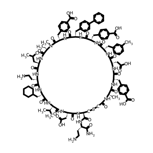 Cc1cccc(C[C@@H]2NC(=O)[C@H](CC(=O)O)NC(=O)[C@H](Cc3ccc(C(=O)O)cc3)NC(=O)[C@H](C)NC(=O)CSC[C@@H](C(=O)N[C@@H](CCN)C(N)=O)NC(=O)[C@H](CC(=O)O)NC(=O)[C@H](C(C)C)NC(=O)[C@H](CC3CCCCC3)NC(=O)[C@H](CCN)NC(=O)[C@@H](CC(C)C)NC(=O)[C@H](C)N(C)C(=O)[C@H](Cc3ccc(C(=O)O)cc3)NC(=O)[C@H](Cc3ccc(-c4ccccc4)cc3)NC(=O)[C@H](Cc3ccc(C(=O)O)cc3)NC2=O)c1